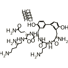 Cl.Cl.Cl.Cl.NCCC[C@H](N)CNC(=O)[C@H](CCC(N)=O)NC(=O)[C@@H]1Cc2cc(ccc2O)-c2ccc(O)c(c2)C[C@H](N)C(=O)N[C@@H](CCCN)C(=O)N1